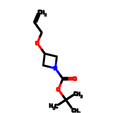 C=CCOC1CN(C(=O)OC(C)(C)C)C1